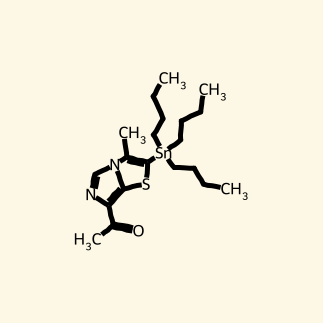 CCC[CH2][Sn]([CH2]CCC)([CH2]CCC)[c]1sc2c(C(C)=O)ncn2c1C